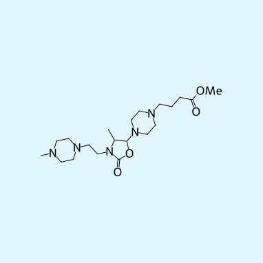 COC(=O)CCCN1CCN(C2OC(=O)N(CCN3CCN(C)CC3)C2C)CC1